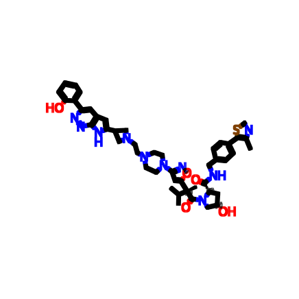 Cc1ncsc1-c1ccc(CNC(=O)[C@@H]2C[C@@H](O)CN2C(=O)[C@@](C)(c2cc(N3CCN(CCN4CC(c5cc6cc(-c7ccccc7O)nnc6[nH]5)C4)CC3)no2)C(C)C)cc1